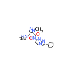 Cn1ncc(C(=O)NC(C)(C)C)c1C(=O)Nc1ccn2cc(-c3ccccc3)nc2n1